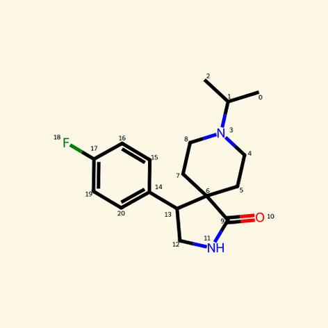 CC(C)N1CCC2(CC1)C(=O)NCC2c1ccc(F)cc1